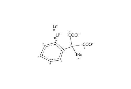 CC(C)(C)C(C(=O)[O-])(C(=O)[O-])c1ccccc1.[Li+].[Li+]